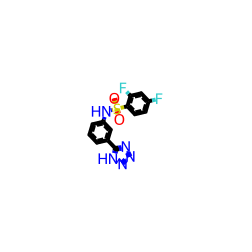 O=S(=O)(Nc1cccc(-c2nnn[nH]2)c1)c1ccc(F)cc1F